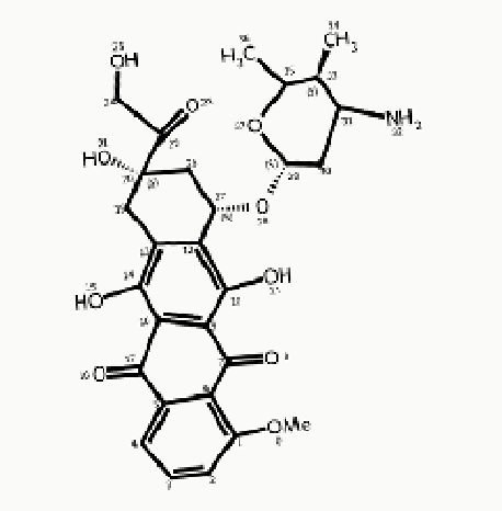 COc1cccc2c1C(=O)c1c(O)c3c(c(O)c1C2=O)C[C@@](O)(C(=O)CO)C[C@@H]3O[C@H]1CC(N)[C@H](C)C(C)O1